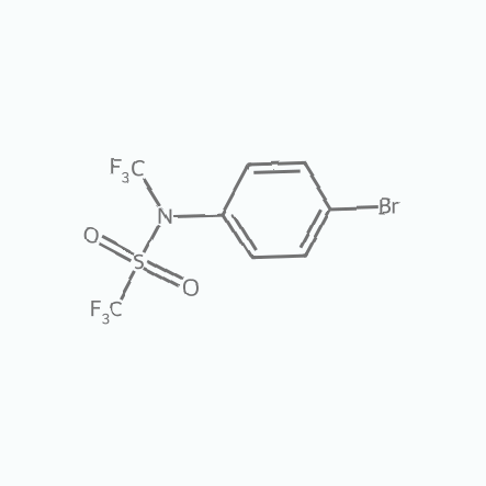 O=S(=O)(N(c1ccc(Br)cc1)C(F)(F)F)C(F)(F)F